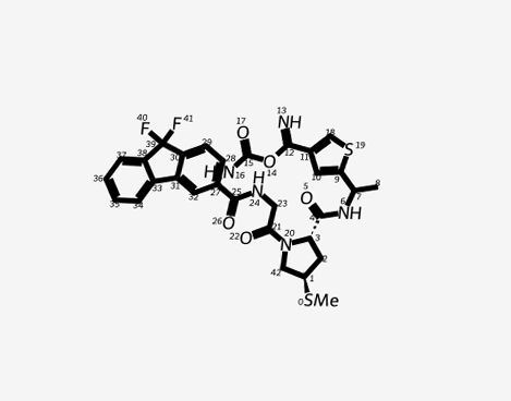 CS[C@@H]1C[C@@H](C(=O)NC(C)c2cc(C(=N)OC(N)=O)cs2)N(C(=O)CNC(=O)c2ccc3c(c2)-c2ccccc2C3(F)F)C1